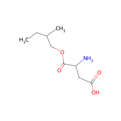 CCC(C)COC(=O)C(N)CC(=O)O